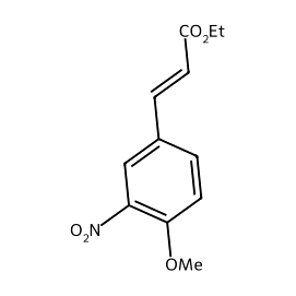 CCOC(=O)C=Cc1ccc(OC)c([N+](=O)[O-])c1